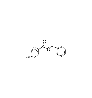 C=C1CC2CC1CC2C(=O)OCc1ccccc1